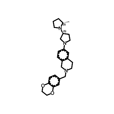 C[C@H]1CCCN1[C@H]1CCN(c2ccc3c(c2)CCN(Cc2ccc4c(c2)OCCO4)C3)C1